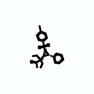 CC[N+](CC)(C(C)=O)[C@@H]1[C@@H](c2ccccc2)N1S(=O)(=O)c1ccc(C)cc1